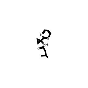 CC(C)CC(=O)NC1(c2ncccn2)CC1